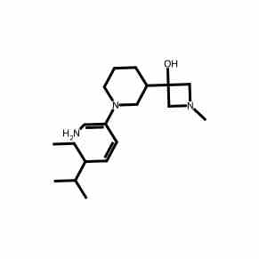 CCC(/C=C\C(=C/N)N1CCCC(C2(O)CN(C)C2)C1)C(C)C